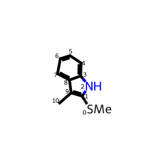 CSc1[nH]c2ccccc2c1C